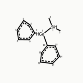 C[SiH](C)[GeH]([c]1ccccc1)[c]1ccccc1